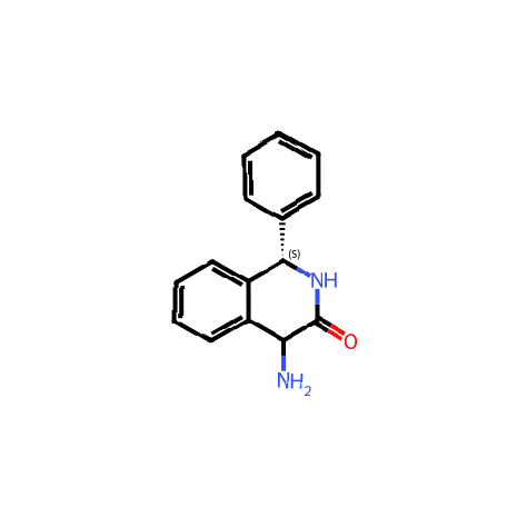 NC1C(=O)N[C@@H](c2ccccc2)c2ccccc21